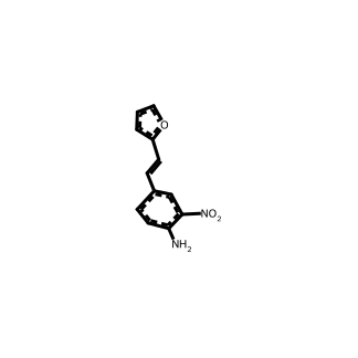 Nc1ccc(C=Cc2ccco2)cc1[N+](=O)[O-]